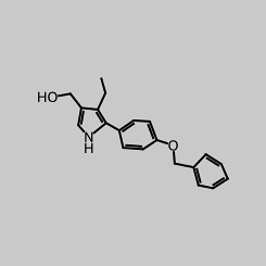 CCc1c(CO)c[nH]c1-c1ccc(OCc2ccccc2)cc1